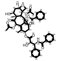 CC(=O)O[C@H]1C(=O)[C@@]2(C)C([C@@]3(OC(=O)c4ccccc4)[C@]4(O)C[C@H](OC(=O)[C@H](O)[C@@H](NC(=O)c5ccccc5)c5ccccc5)C(C)=C1[C@@]43C)[C@]1(OC(C)=O)CO[C@@H]1C[C@@H]2O